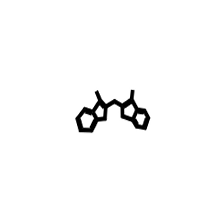 CC1=C(CC2=C(C)c3ccccc3C2)Cc2ccccc21